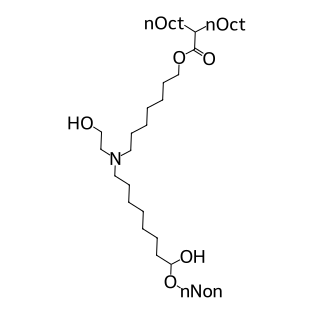 CCCCCCCCCOC(O)CCCCCCCN(CCO)CCCCCCCOC(=O)C(CCCCCCCC)CCCCCCCC